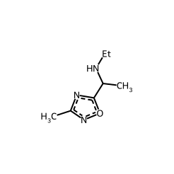 CCNC(C)c1nc(C)no1